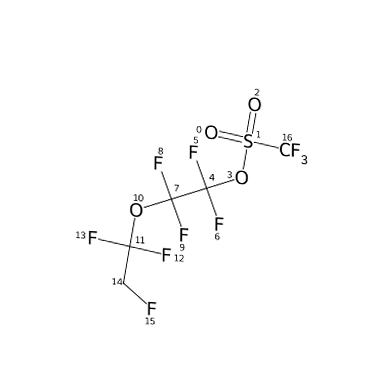 O=S(=O)(OC(F)(F)C(F)(F)OC(F)(F)CF)C(F)(F)F